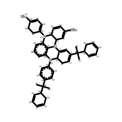 CC(C)(C)C1=CC2B3C4=CC(C(C)(C)C5C=CC=CC5)=CCC4N(c4ccc(C(C)(C)C5C=CC=CC5)cc4)c4cccc(c43)N(C3=CC=C(C(C)(C)C)CC3)C2C=C1